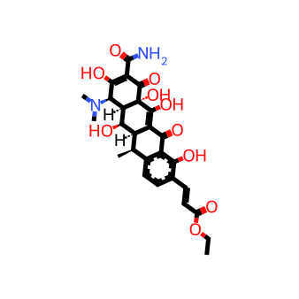 CCOC(=O)/C=C/c1ccc2c(c1O)C(=O)C1=C(O)[C@]3(O)C(=O)C(C(N)=O)=C(O)[C@H](N(C)C)[C@@H]3[C@H](O)[C@@H]1[C@@H]2C